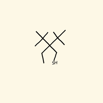 CCC(CS)(C(C)(C)C)C(C)(C)C